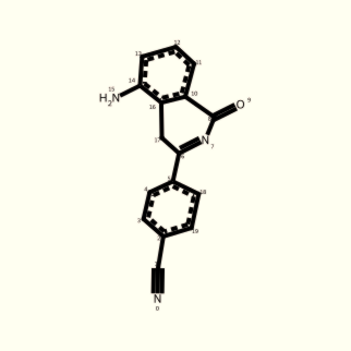 N#Cc1ccc(C2=NC(=O)c3cccc(N)c3C2)cc1